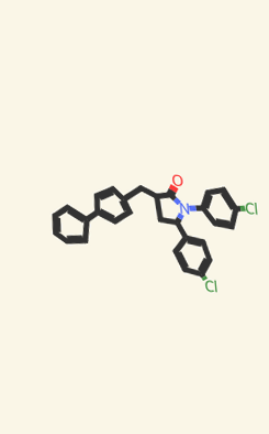 O=C1C(Cc2ccc(-c3ccccc3)cc2)CC(c2ccc(Cl)cc2)N1c1ccc(Cl)cc1